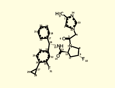 Cc1cn(CC(=O)N2C[C@H](F)C[C@H]2C(=O)N[C@@H](c2ccccc2)c2ccc(C3CC3)c(F)c2)cn1